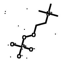 C[N+](C)(C)CCOO[I+3]([O-])([O-])[O-]